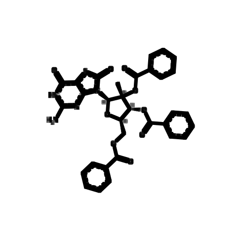 C[C@@]1(OC(=O)c2ccccc2)[C@H](OC(=O)c2ccccc2)[C@@H](COC(=O)c2ccccc2)O[C@H]1n1c(=O)sc2c(=O)[nH]c(N)nc21